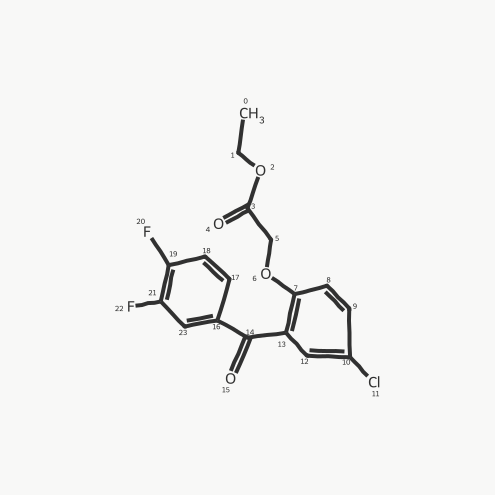 CCOC(=O)COc1ccc(Cl)cc1C(=O)c1ccc(F)c(F)c1